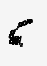 NC(=O)N(S)c1cccc(OCCCCCOc2ccc(-n3cccc3)cc2)c1